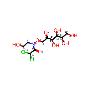 O=C(CON(CCO)C(=O)C(Cl)Cl)[C@H](O)[C@@H](O)[C@H](O)CO